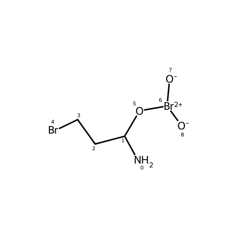 NC(CCBr)O[Br+2]([O-])[O-]